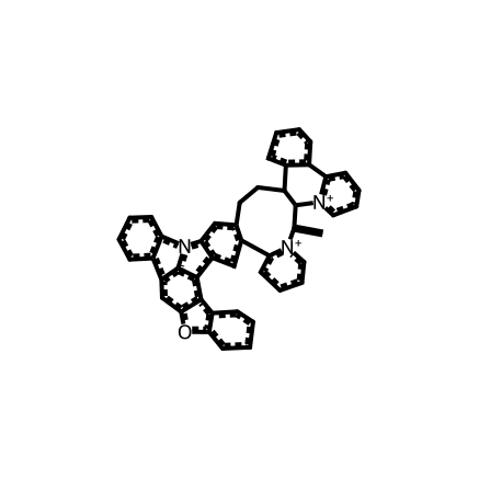 C=C1C2C(CCc3cc4c(cc3-c3cccc[n+]31)c1c3c(cc5c6ccccc6n4c51)oc1ccccc13)c1ccccc1-c1cccc[n+]12